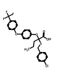 CCCC(Oc1ccc(Oc2ccc(C(F)(F)F)cc2)cc1)(SCc1ccc(Cl)cc1)C(=O)O